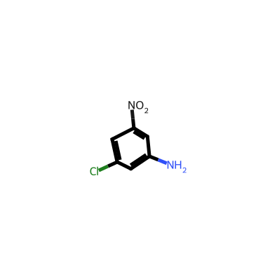 Nc1cc(Cl)cc([N+](=O)[O-])c1